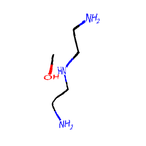 CO.NCCNCCN